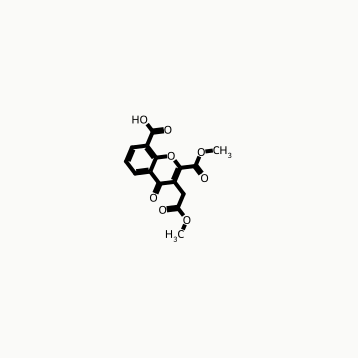 COC(=O)Cc1c(C(=O)OC)oc2c(C(=O)O)cccc2c1=O